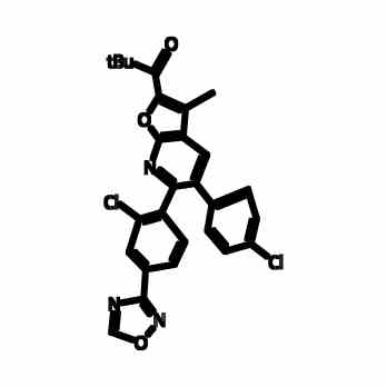 Cc1c(C(=O)C(C)(C)C)oc2nc(-c3ccc(-c4ncon4)cc3Cl)c(-c3ccc(Cl)cc3)cc12